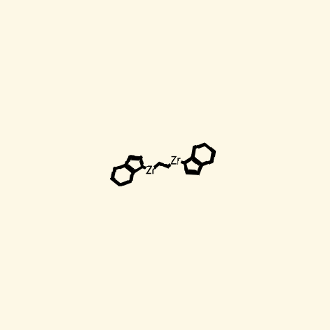 C1=C[CH]([Zr][CH2][CH2][Zr][CH]2C=CC3=C2CCCC3)C2=C1CCCC2